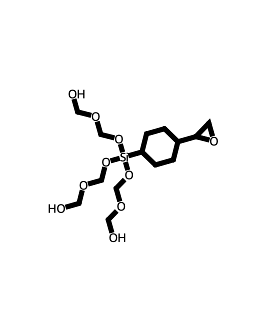 OCOCO[Si](OCOCO)(OCOCO)C1CCC(C2CO2)CC1